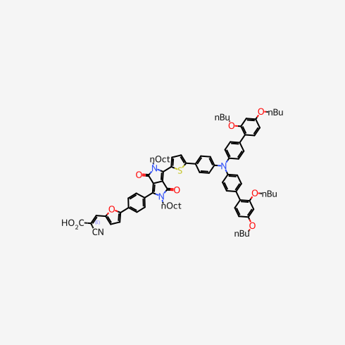 CCCCCCCCN1C(=O)C2=C(c3ccc(-c4ccc(N(c5ccc(-c6ccc(OCCCC)cc6OCCCC)cc5)c5ccc(-c6ccc(OCCCC)cc6OCCCC)cc5)cc4)s3)N(CCCCCCCC)C(=O)C2=C1c1ccc(-c2ccc(/C=C(\C#N)C(=O)O)o2)cc1